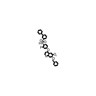 COc1cc2c(Oc3ccc(NS(=O)(=O)c4cccc(-c5ccccc5)c4)c(F)c3)ccnc2cc1OCc1ccccc1